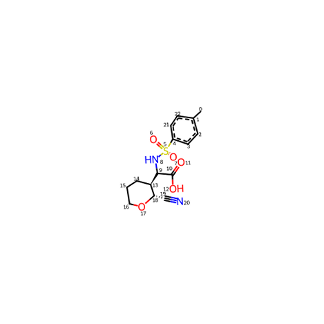 Cc1ccc(S(=O)(=O)NC(C(=O)O)[C@@H]2CCCO[C@H]2C#N)cc1